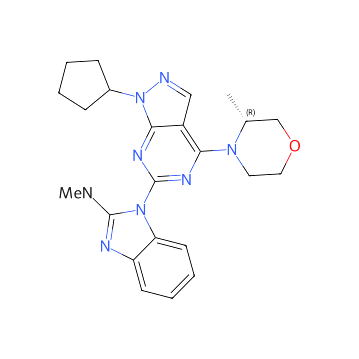 CNc1nc2ccccc2n1-c1nc(N2CCOC[C@H]2C)c2cnn(C3CCCC3)c2n1